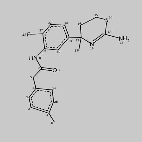 Cc1ccc(CC(=O)Nc2cc(C3(C)CCSC(N)=N3)ccc2F)cc1